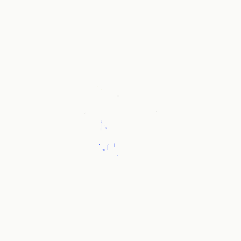 CC(C)c1csc[n+]1N